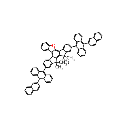 CC1(C)c2cc(-c3c4ccccc4c(-c4ccc5ccccc5c4)c4ccccc34)ccc2-c2c1c1c(c3c2oc2ccccc23)-c2ccc(-c3c4ccccc4c(-c4ccc5ccccc5c4)c4ccccc34)cc2C1(C)C